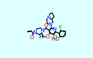 C=CC(=O)N1CCN2C(=O)c3c(N4CCN5CCCC5C4)nc(-c4c(O)cccc4F)c(Cl)c3OC[C@H]2C1